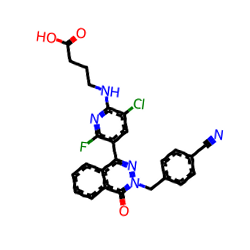 N#Cc1ccc(Cn2nc(-c3cc(Cl)c(NCCCC(=O)O)nc3F)c3ccccc3c2=O)cc1